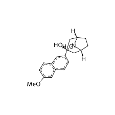 COc1ccc2cc([C@@]3(O)C[C@H]4CC[C@@H](C3)N4C)ccc2c1